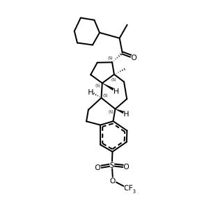 CC(C(=O)[C@H]1CC[C@H]2[C@@H]3CCc4cc(S(=O)(=O)OC(F)(F)F)ccc4[C@H]3CC[C@]12C)C1CCCCC1